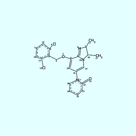 CC1N=C2C(OCc3c(Cl)cccc3Cl)=CC(n3ccccc3=O)=CN2C1C